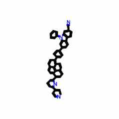 N#Cc1ccc2c3ccc(-c4ccc(-c5ccc6ccc7c(-c8cccc(-c9ccncc9)n8)ccc8ccc5c6c87)cc4)cc3n(-c3ccccc3)c2c1